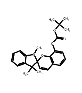 CN1c2ccccc2C(C)(C)C12C=Cc1cccc(OC(=O)OC(C)(C)C)c1O2